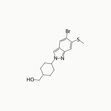 CSc1cc2nn(C3CCC(CO)CC3)cc2cc1Br